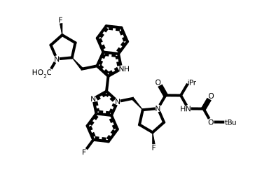 CC(C)C(NC(=O)OC(C)(C)C)C(=O)N1C[C@@H](F)C[C@H]1Cn1c(-c2[nH]c3ccccc3c2C[C@@H]2C[C@H](F)CN2C(=O)O)nc2cc(F)ccc21